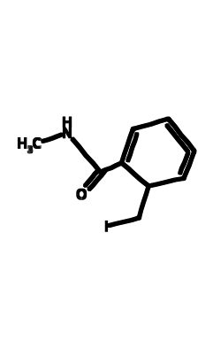 CNC(=O)C1=CC=C=CC1CI